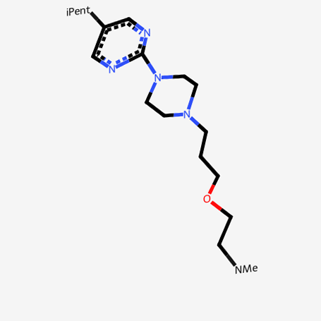 CCCC(C)c1cnc(N2CCN(CCCOCCNC)CC2)nc1